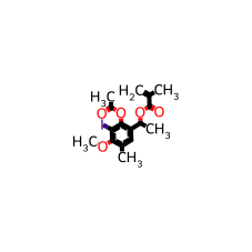 C=C(C)C(=O)OC(C)c1cc(C)c(OC)c(I)c1OC(C)=O